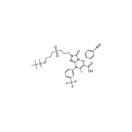 CC1=C(C(=O)O)[C@@H](c2ccc(C#N)cc2)n2c(nn(CCCS(=O)(=O)CCCO[Si](C)(C)C(C)(C)C)c2=O)N1c1cccc(C(F)(F)F)c1